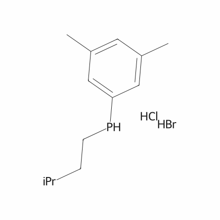 Br.Cc1cc(C)cc(PCCC(C)C)c1.Cl